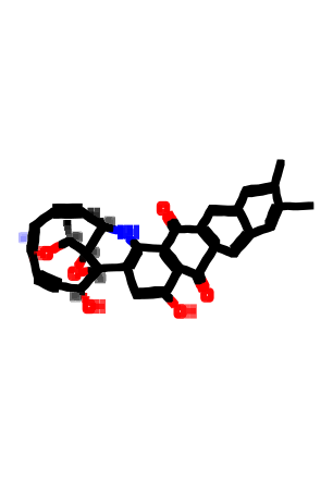 Cc1cc2cc3c(cc2cc1C)C(=O)c1c2c(cc(O)c1C3=O)[C@@]13O[C@@]1([C@@H](C)O)[C@H](C#C/C=C\C#C[C@H]3O)N2